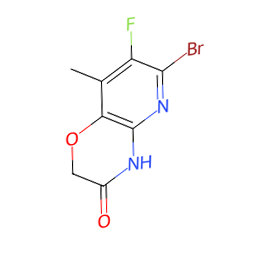 Cc1c(F)c(Br)nc2c1OCC(=O)N2